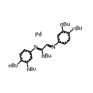 CCCCC(/C=N/c1ccc(CCCC)c(CCCC)c1)=N\c1ccc(CCCC)c(CCCC)c1.[Pd]